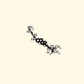 COC(=O)C(NC(=O)CCCC1CCC2C3CCC4CC(NCCNCCNCCN)CCC4(C)C3CCC12C)C(C)C